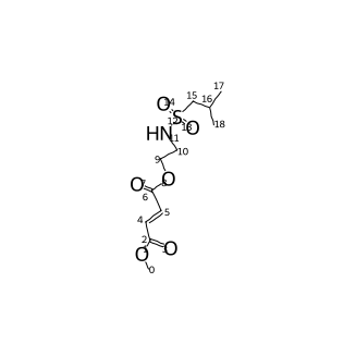 COC(=O)/C=C/C(=O)OCCNS(=O)(=O)CC(C)C